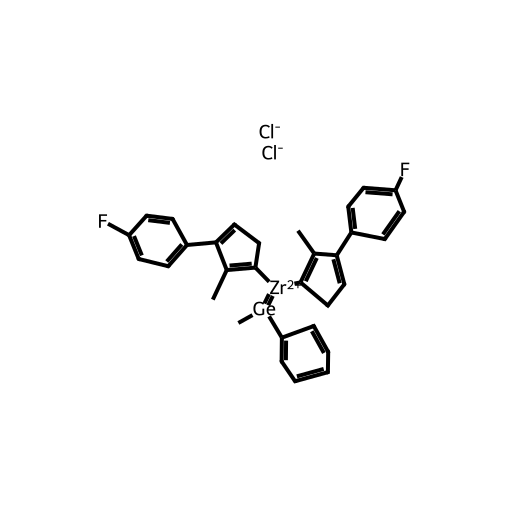 CC1=[C]([Zr+2]([C]2=C(C)C(c3ccc(F)cc3)=CC2)=[Ge]([CH3])[c]2ccccc2)CC=C1c1ccc(F)cc1.[Cl-].[Cl-]